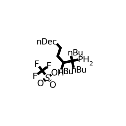 CCCCCCCCCCCCC(CCCC)C(P)(CCCC)CCCC.O=S(=O)(O)C(F)(F)F